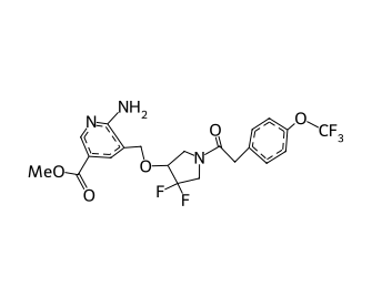 COC(=O)c1cnc(N)c(COC2CN(C(=O)Cc3ccc(OC(F)(F)F)cc3)CC2(F)F)c1